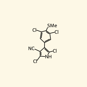 CSc1c(Cl)cc(-c2c(Cl)[nH]c(Cl)c2C#N)cc1Cl